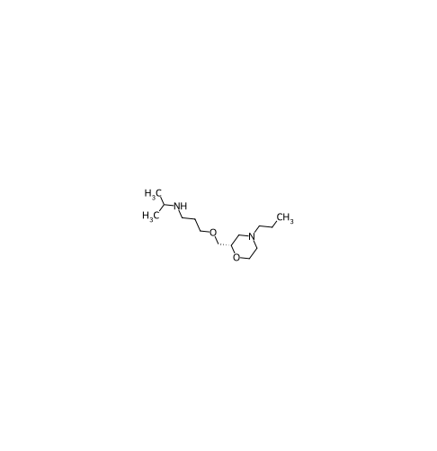 CCCN1CCO[C@H](COCCCNC(C)C)C1